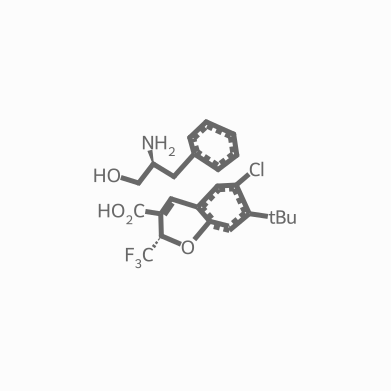 CC(C)(C)c1cc2c(cc1Cl)C=C(C(=O)O)[C@@H](C(F)(F)F)O2.N[C@H](CO)Cc1ccccc1